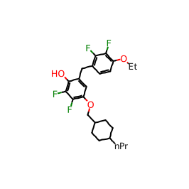 CCCC1CCC(COc2cc(Cc3ccc(OCC)c(F)c3F)c(O)c(F)c2F)CC1